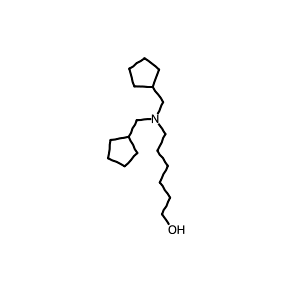 OCCCCCCN(CC1CCCC1)CC1CCCC1